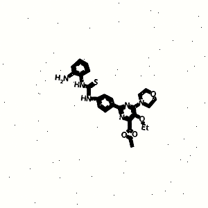 CCOc1c(C2OC(C)O2)nc(-c2ccc(NC(=S)Nc3ccccc3N)cc2)nc1N1CCOCC1